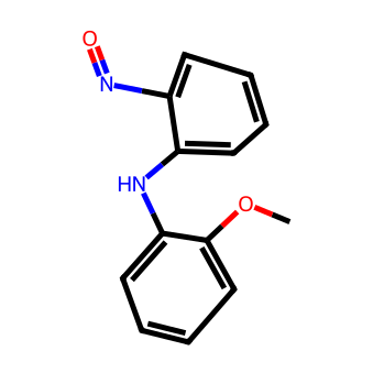 COc1ccccc1Nc1ccccc1N=O